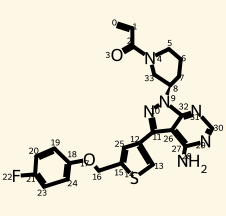 C=CC(=O)N1CCC[C@@H](n2nc(-c3csc(COc4ccc(F)cc4)c3)c3c(N)ncnc32)C1